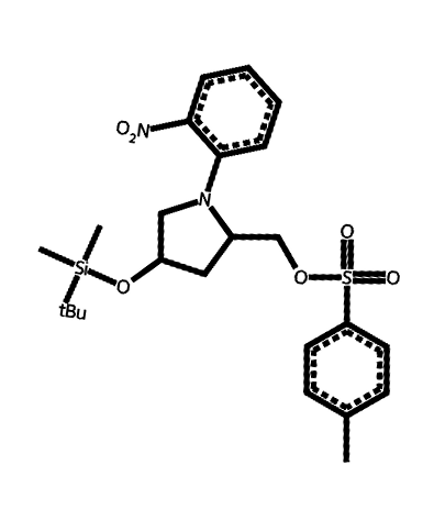 Cc1ccc(S(=O)(=O)OCC2CC(O[Si](C)(C)C(C)(C)C)CN2c2ccccc2[N+](=O)[O-])cc1